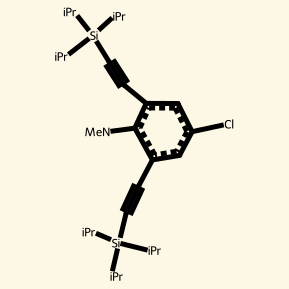 CNc1c(C#C[Si](C(C)C)(C(C)C)C(C)C)cc(Cl)cc1C#C[Si](C(C)C)(C(C)C)C(C)C